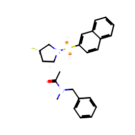 CN(Cc1ccccc1)C(=O)C[C@@H]1C[C@@H](S)CN1S(=O)(=O)c1ccc2ccccc2c1